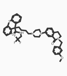 COc1cccc(CN2CCc3ccc(N4CCN(CCCCC5(C(=O)NCC(F)(F)F)c6ccccc6Sc6ccccc65)CC4)cc3C2=O)c1